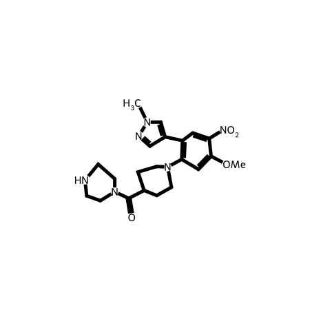 COc1cc(N2CCC(C(=O)N3CCNCC3)CC2)c(-c2cnn(C)c2)cc1[N+](=O)[O-]